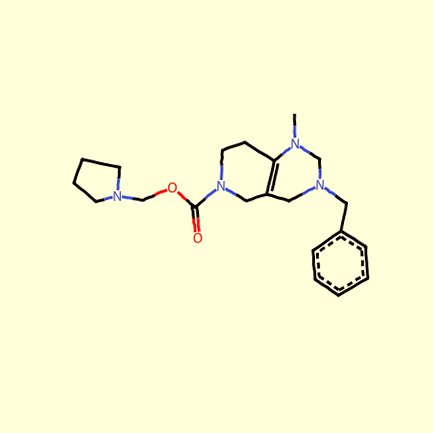 CN1CN(Cc2ccccc2)CC2=C1CCN(C(=O)OCN1CCCC1)C2